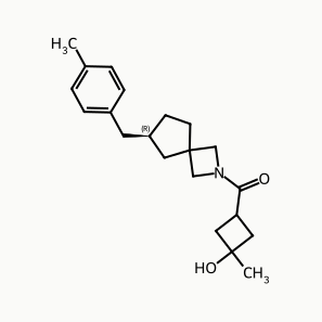 Cc1ccc(C[C@H]2CCC3(C2)CN(C(=O)C2CC(C)(O)C2)C3)cc1